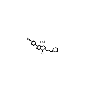 Cl.N#Cc1ccc(-c2ccc3c(c2)CCN(CCCN2CCCCC2)C3=O)cc1